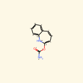 NC(=O)OC1=CC=Cc2ccccc2N1